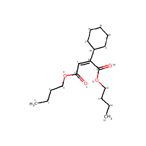 CCCCOC(=O)C=C(C(=O)OCCCC)C1CCCCC1